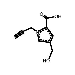 C#CCn1cc(CO)cc1C(=O)O